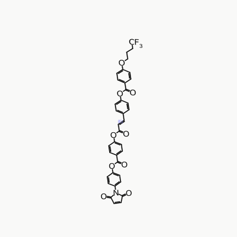 O=C(/C=C/c1ccc(OC(=O)c2ccc(OCCCC(F)(F)F)cc2)cc1)Oc1ccc(C(=O)Oc2ccc(N3C(=O)C=CC3=O)cc2)cc1